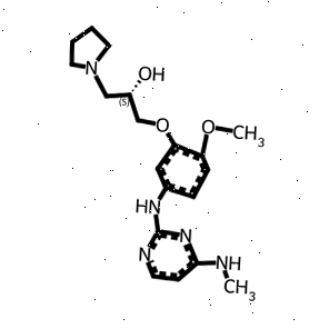 CNc1ccnc(Nc2ccc(OC)c(OC[C@@H](O)CN3CCCC3)c2)n1